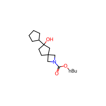 CCCCOC(=O)N1CC2(CCC(O)(C3CCCC3)C2)C1